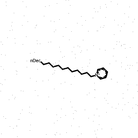 CCCCCCCCCCCCCCCCCCCCC[n+]1ccccc1